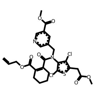 C=CCOC(=O)C1=C(C(=O)N(Cc2cncc(C(=O)OC)c2)c2c(Cl)sc(CC(=O)OC)c2Cl)CCCC1